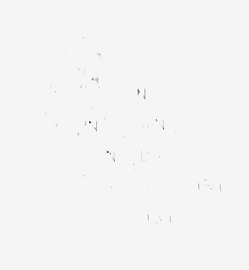 CC(C)(C)c1ccc2c(c1)B1c3cc(C(C)(C)C)ccc3-n3c4cccc5c6ccc7c8c6n(c6c9c%10c(c1c63)n-2c1cccc2c3ccc-7c(c3n%10c21)B89)c54